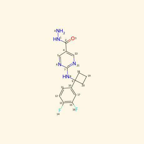 NNC(=O)c1cnc(NC2(c3ccc(F)c(F)c3)CCC2)nc1